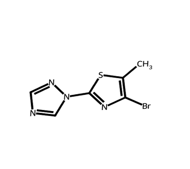 Cc1sc(-n2cncn2)nc1Br